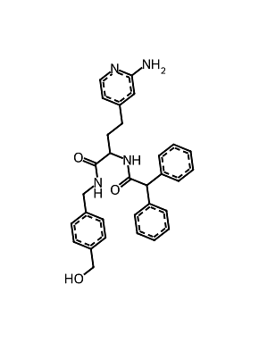 Nc1cc(CCC(NC(=O)C(c2ccccc2)c2ccccc2)C(=O)NCc2ccc(CO)cc2)ccn1